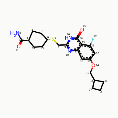 NC(=O)[C@H]1CC[C@H](SCc2nc3cc(OCC4CCC4)cc(F)c3c(=O)[nH]2)CC1